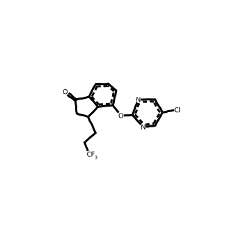 O=C1CC(CCC(F)(F)F)c2c(Oc3ncc(Cl)cn3)cccc21